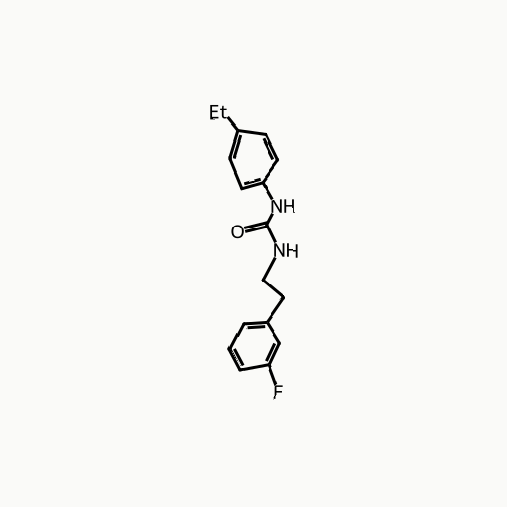 CCc1ccc(NC(=O)NCCc2cccc(F)c2)cc1